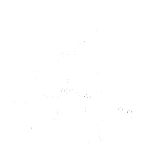 CC1=[C]([Hf+2]([C]2=C(C)C(C(C)(C)C)=C(C)C2C)=[Ge]([CH3])[c]2ccccc2)C(C)C(C)=C1C(C)(C)C.[Cl-].[Cl-]